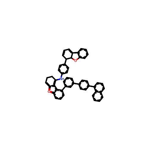 C1=CC(c2ccc(NC3=c4c(oc5cccc(-c6cccc(-c7ccc(-c8cccc9ccccc89)cc7)c6)c45)=CCC3)cc2)C2Oc3ccccc3C2=C1